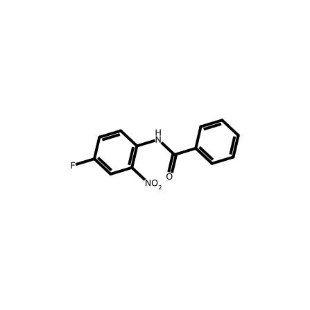 O=C(Nc1ccc(F)cc1[N+](=O)[O-])c1ccccc1